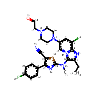 CCc1nc2c(F)cc(N3CCN(CC=O)CC3)cn2c1N(C)c1nc(-c2ccc(F)cc2)c(C#N)s1